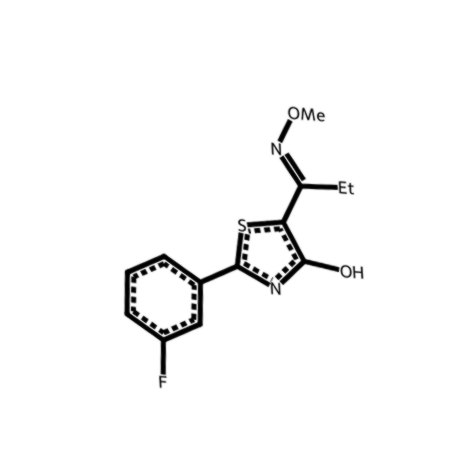 CCC(=NOC)c1sc(-c2cccc(F)c2)nc1O